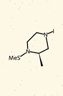 CSN1CCN(I)C[C@H]1C